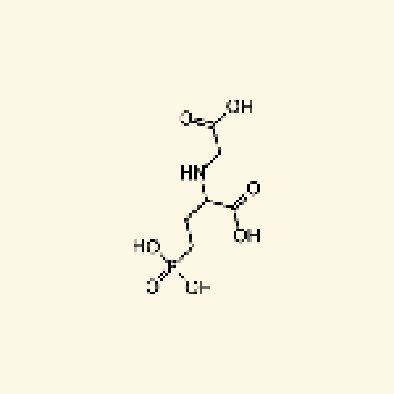 O=C(O)CNC(CCP(=O)(O)O)C(=O)O